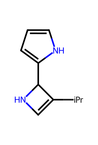 CC(C)C1=CNC1c1ccc[nH]1